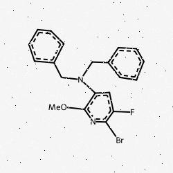 COc1nc(Br)c(F)cc1N(Cc1ccccc1)Cc1ccccc1